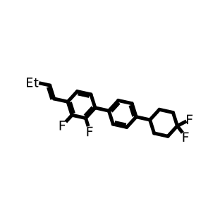 CCC=Cc1ccc(-c2ccc(C3CCC(F)(F)CC3)cc2)c(F)c1F